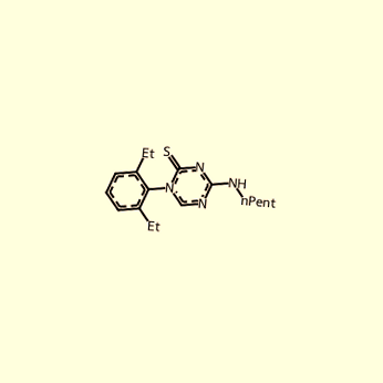 CCCCCNc1ncn(-c2c(CC)cccc2CC)c(=S)n1